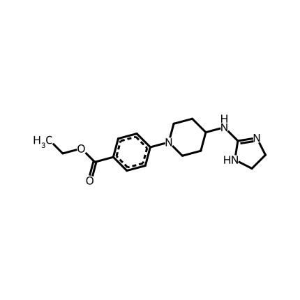 CCOC(=O)c1ccc(N2CCC(NC3=NCCN3)CC2)cc1